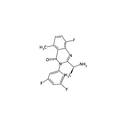 Cc1ccc(F)c2nc([C@H](C)N)n(-c3cc(F)cc(F)c3)c(=O)c12